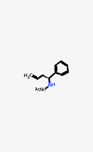 C=CC[C@H](NNC(C)=O)c1ccccc1